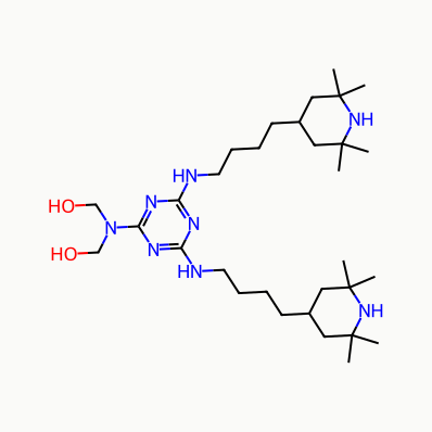 CC1(C)CC(CCCCNc2nc(NCCCCC3CC(C)(C)NC(C)(C)C3)nc(N(CO)CO)n2)CC(C)(C)N1